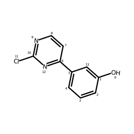 Oc1cccc(-c2ccnc(Cl)n2)c1